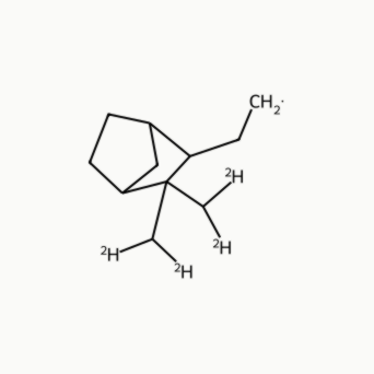 [2H]C([2H])C1(C([2H])[2H])C2CCC(C2)C1C[CH2]